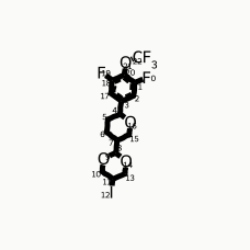 Fc1cc(C2CCC(C3OCC(I)CO3)CO2)cc(F)c1OC(F)(F)F